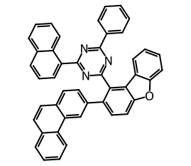 c1ccc(-c2nc(-c3cccc4ccccc34)nc(-c3c(-c4ccc5ccc6ccccc6c5c4)ccc4oc5ccccc5c34)n2)cc1